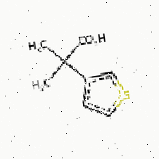 CC(C)(C(=O)O)c1c[c]sc1